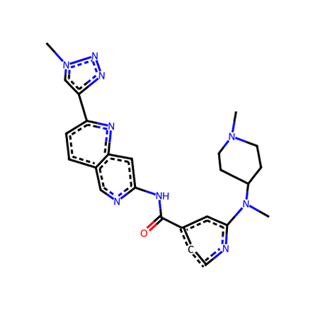 CN1CCC(N(C)c2cc(C(=O)Nc3cc4nc(-c5cn(C)nn5)ccc4cn3)ccn2)CC1